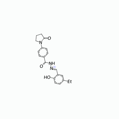 CCc1ccc(O)c(/C=N/NC(=O)c2ccc(N3CCCC3=O)cc2)c1